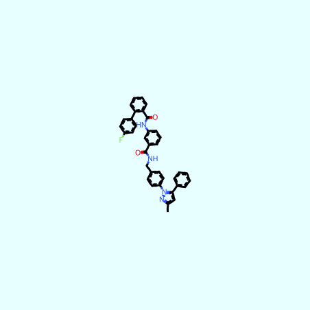 Cc1cc(-c2ccccc2)n(-c2ccc(CNC(=O)c3cccc(NC(=O)c4ccccc4-c4ccc(F)cc4)c3)cc2)n1